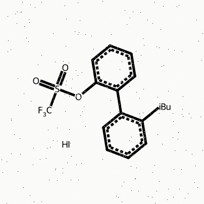 CCC(C)c1ccccc1-c1ccccc1OS(=O)(=O)C(F)(F)F.I